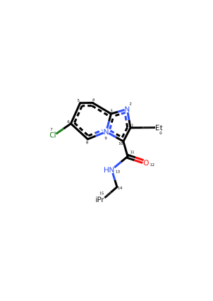 CCc1nc2ccc(Cl)cn2c1C(=O)NCC(C)C